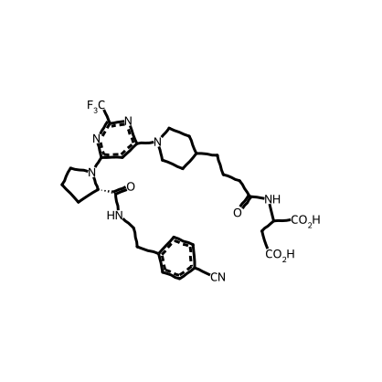 N#Cc1ccc(CCNC(=O)[C@@H]2CCCN2c2cc(N3CCC(CCCC(=O)NC(CC(=O)O)C(=O)O)CC3)nc(C(F)(F)F)n2)cc1